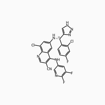 N#Cc1cnc2c(Cl)cc(N[C@H](c3c[nH]nn3)c3ccc(F)cc3Cl)cc2c1Nc1cnc(F)c(F)c1